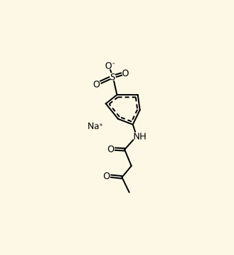 CC(=O)CC(=O)Nc1ccc(S(=O)(=O)[O-])cc1.[Na+]